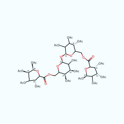 CC(=O)OC1C(OC(C)=O)[C@H](OC(C)=O)C(COC(=O)C2O[C@H](OC(C)=O)C(OC(C)=O)[C@@H](OC(C)=O)[C@H]2OC(C)=O)O[C@H]1O[C@@H]1OC(COC(=O)C2O[C@H](OC(C)=O)[C@H](OC(C)=O)C(OC(C)=O)[C@H]2OC(C)=O)[C@H](OC(C)=O)[C@H](OC(C)=O)C1OC(C)=O